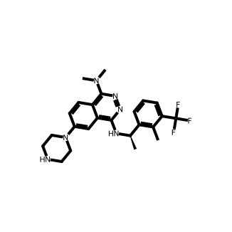 Cc1c([C@@H](C)Nc2nnc(N(C)C)c3ccc(N4CCNCC4)cc23)cccc1C(F)(F)F